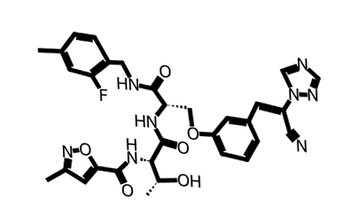 Cc1ccc(CNC(=O)[C@H](COc2cccc(/C=C(\C#N)n3cncn3)c2)NC(=O)[C@@H](NC(=O)c2cc(C)no2)[C@@H](C)O)c(F)c1